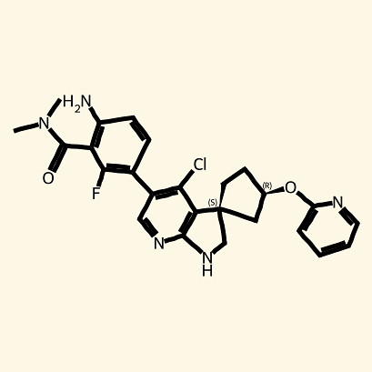 CN(C)C(=O)c1c(N)ccc(-c2cnc3c(c2Cl)[C@@]2(CC[C@@H](Oc4ccccn4)C2)CN3)c1F